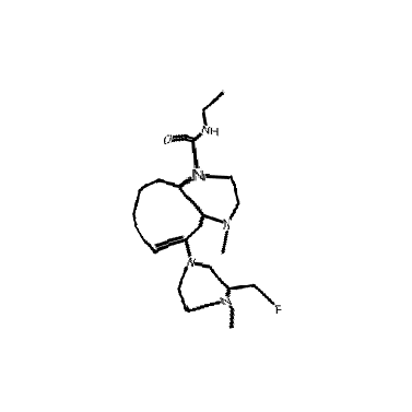 CCNC(=O)N1CCN(C)C2C(N3CCN(C)C(CF)C3)=CCCCC21